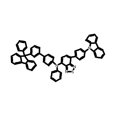 c1ccc(N(c2ccc(-c3cccc(C4(c5ccccc5)c5ccccc5-c5ccccc54)c3)cc2)c2ccc(-c3ccc(-n4c5ccccc5c5ccccc54)cc3)c3nsnc23)cc1